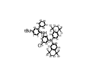 CC(C)(C)c1ccc(Nc2cc(Cl)cc(N(c3ccc4c(c3)C(C)(C)CCC4(C)C)c3ccc4c(c3)C(C)(C)CCC4(C)C)c2)c(-c2ccccc2)c1